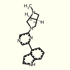 CN1C[C@H]2CN(c3cncc(-c4cccc5[nH]ccc45)n3)C[C@H]21